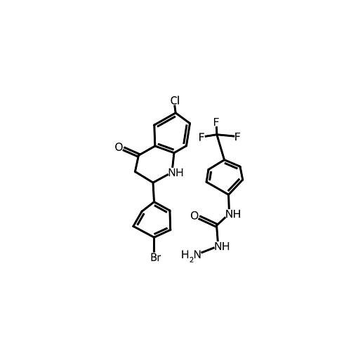 NNC(=O)Nc1ccc(C(F)(F)F)cc1.O=C1CC(c2ccc(Br)cc2)Nc2ccc(Cl)cc21